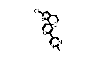 Cc1ncc(C2=CC3(C=CO2)OCCc2cc(Cl)sc23)cn1